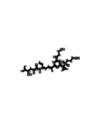 C=C/C(=C\C=C(/C)c1nc(NCCO)cc(C2(S(=O)(=O)CCCO)CC2)n1)NC(=O)NCC(O)N(C)C